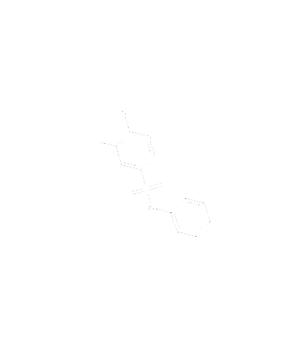 Nc1ncc(S(=O)(=O)Nc2ccccc2)cc1O